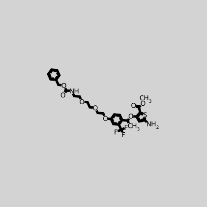 COC(=O)c1sc(N)cc1OC(C)c1ccc(OCCOCCOCCNC(=O)OCc2ccccc2)cc1C(F)(F)F